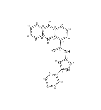 O=C(Nc1nnc(-c2ccccc2)o1)c1cccc2nc3ccccc3nc12